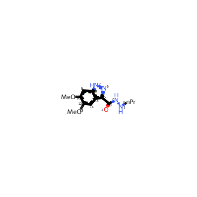 CCCNNC(=O)c1n[nH]c2cc(OC)c(OC)cc12